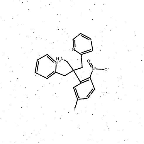 NCC(Cc1ccccn1)(Cc1ccccn1)c1cc(F)ccc1[N+](=O)[O-]